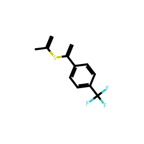 C=C(C)SC(=C)c1ccc(C(F)(F)F)cc1